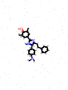 Cc1cc(-c2nc(CCc3ccccc3)c(-c3ccc(N(C)C)cc3)n2C)cc(C)c1O